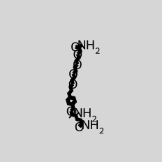 C[C@@H](OCc1ccc(CCCOCCOCCOCCOCC(N)=O)cc1)[C@@H](N)CCC(N)=O